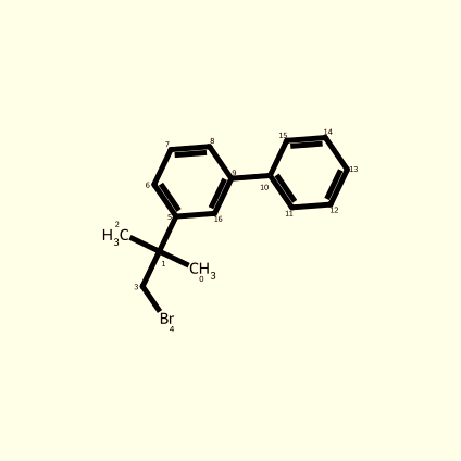 CC(C)(CBr)c1cccc(-c2ccccc2)c1